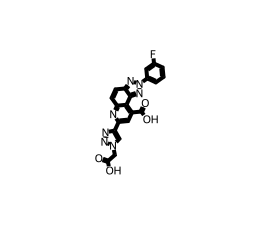 O=C(O)Cn1cc(-c2cc(C(=O)O)c3c(ccc4nn(-c5cccc(F)c5)nc43)n2)nn1